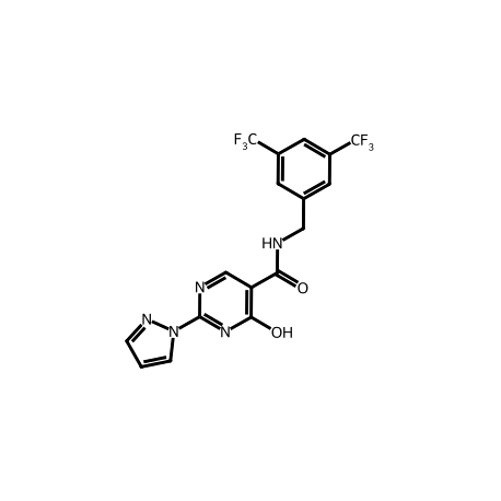 O=C(NCc1cc(C(F)(F)F)cc(C(F)(F)F)c1)c1cnc(-n2cccn2)nc1O